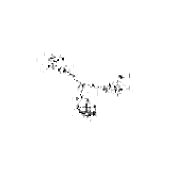 CCC(CC(C)OC1OC(COC(C)=O)C(OC(C)=O)C(OC(C)=O)C1NC(C)=O)C(=O)NCCNC(=O)CCOCC(CC)(COCCC(=O)NCCNC(=O)C(C)CC(C)OC(OC(C)COC(C)=O)C(NC(C)=O)C(O)OC(C)=O)COCCC(=O)NCCNC(=O)C(C)(C)CC(C)(C)OC1OC(COC(C)=O)C(OC(C)=O)C(OC(C)=O)C1NC(C)=O